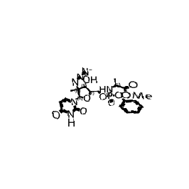 COC(=O)[C@H](C)N[P@@](=O)(OC[C@H]1O[C@@H](n2ccc(=O)[nH]c2=O)[C@](C)(N=[N+]=[N-])[C@@H]1O)Oc1ccccc1